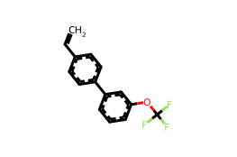 C=Cc1ccc(-c2cccc(OC(F)(F)F)c2)cc1